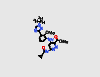 [2H]C([2H])([2H])n1cnc(-c2cccc(Nc3cc(NC(=O)C4CC4)nnc3C(=O)OC)c2OC)n1